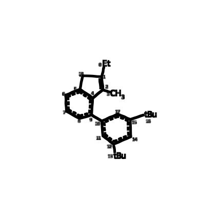 CCC1=C(C)c2c(cccc2-c2cc(C(C)(C)C)cc(C(C)(C)C)c2)[CH]1